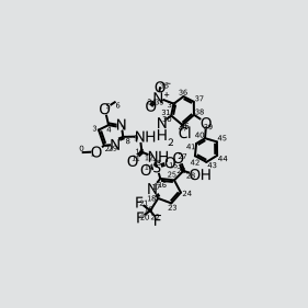 COc1cc(OC)nc(NC(=O)NS(=O)(=O)c2nc(C(F)(F)F)ccc2C(=O)O)n1.Nc1c([N+](=O)[O-])ccc(Oc2ccccc2)c1Cl